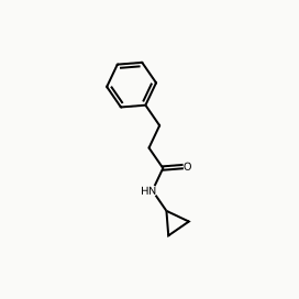 O=C(CCc1ccccc1)NC1CC1